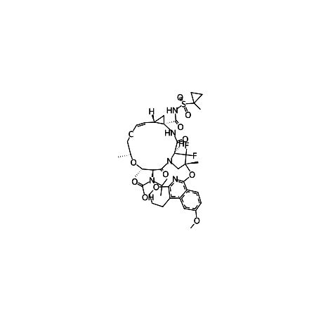 COc1ccc2c(O[C@]3(C)CN4C(=O)[C@@H](N(C(=O)O)C(C)C)[C@H](C)O[C@H](C)CC/C=C\[C@@H]5C[C@@]5(C(=O)NS(=O)(=O)C5(C)CC5)NC(=O)[C@H]4C3(F)F)nc3c(c2c1)CCCO3